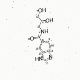 O=C(NC[C@H](O)CO)c1ccc2nc[nH]c2c1